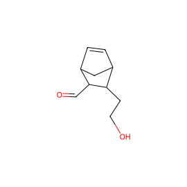 O=CC1C2C=CC(C2)C1CCO